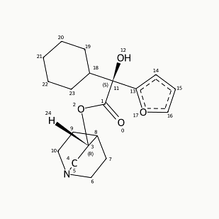 O=C(O[C@H]1CN2CCC1CC2)[C@@](O)(c1ccco1)C1CCCCC1